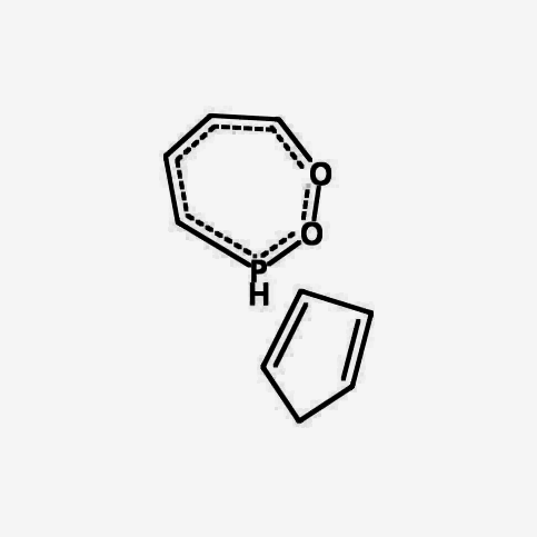 C1=CCC=C1.c1cc[pH]ooc1